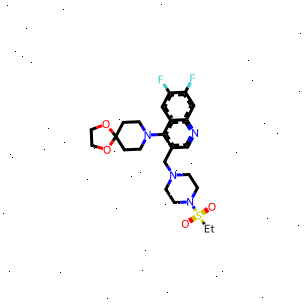 CCS(=O)(=O)N1CCN(Cc2cnc3cc(F)c(F)cc3c2N2CCC3(CC2)OCCO3)CC1